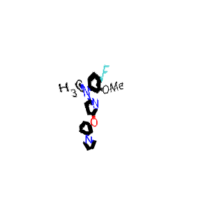 COc1cc(N(C)c2ccc(Oc3cccc(-n4cccc4)c3)cn2)ccc1F